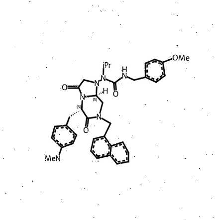 CNc1ccc(C[C@H]2C(=O)N(Cc3cccc4ccccc34)C[C@H]3N2C(=O)CN3N(C(=O)NCc2ccc(OC)cc2)C(C)C)cc1